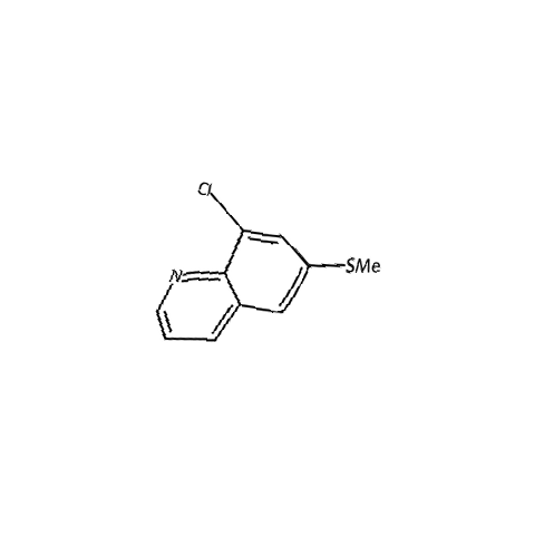 CSc1cc(Cl)c2ncccc2c1